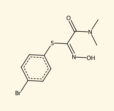 CN(C)C(=O)C(=NO)Sc1ccc(Br)cc1